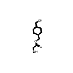 O=C(CO)OCC1CCC(CO)CC1